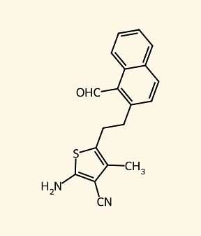 Cc1c(CCc2ccc3ccccc3c2C=O)sc(N)c1C#N